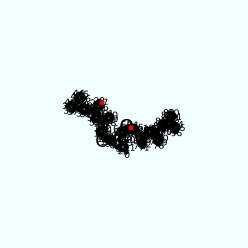 Cc1cc(C)c(B(c2ccc3oc4ccc(-n5c6ccccc6c6c7c8ccccc8n(-c8ccc9c%10ccccc%10c%10ccccc%10c9c8)c7ccc65)cc4c3c2)c2ccc3oc4ccc(-n5c6ccccc6c6c7c8ccccc8n(-c8ccc9c%10ccccc%10c%10ccccc%10c9c8)c7ccc65)cc4c3c2)c(C)c1